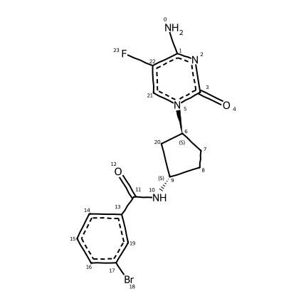 Nc1nc(=O)n([C@H]2CC[C@H](NC(=O)c3cccc(Br)c3)C2)cc1F